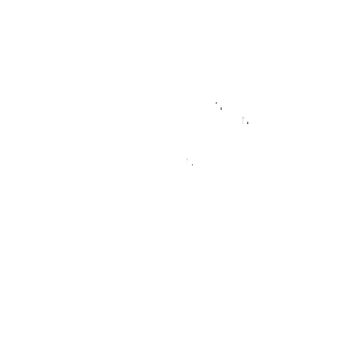 c1ccc2nc3ccccc3cc2c1.c1nnco1